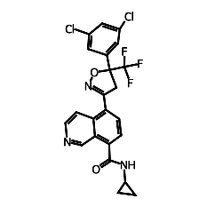 O=C(NC1CC1)c1ccc(C2=NOC(c3cc(Cl)cc(Cl)c3)(C(F)(F)F)C2)c2ccncc12